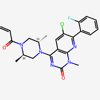 C=CC(=O)N1C[C@H](C)N(c2nc(=O)n(C)c3nc(-c4ccccc4F)c(Cl)cc23)C[C@H]1C